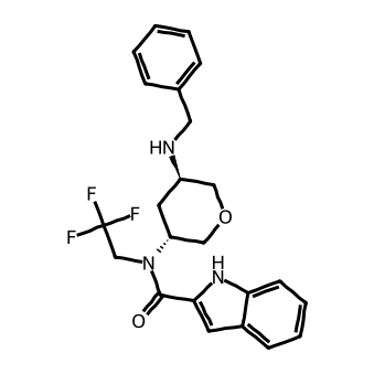 O=C(c1cc2ccccc2[nH]1)N(CC(F)(F)F)[C@H]1COC[C@H](NCc2ccccc2)C1